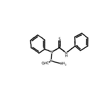 NN(C=O)N(C(=S)Nc1ccccc1)c1ccccc1